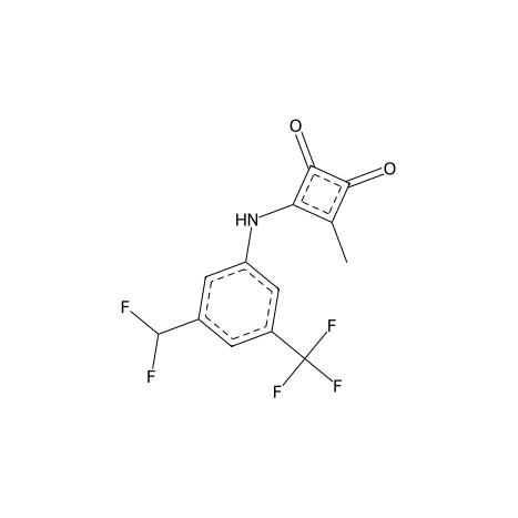 Cc1c(Nc2cc(C(F)F)cc(C(F)(F)F)c2)c(=O)c1=O